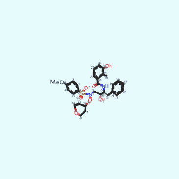 COc1ccc(S(=O)(=O)N(C[C@@H](O)[C@H](Cc2ccccc2)NC(=O)c2cccc(O)c2C)OC2CCOCC2)cc1